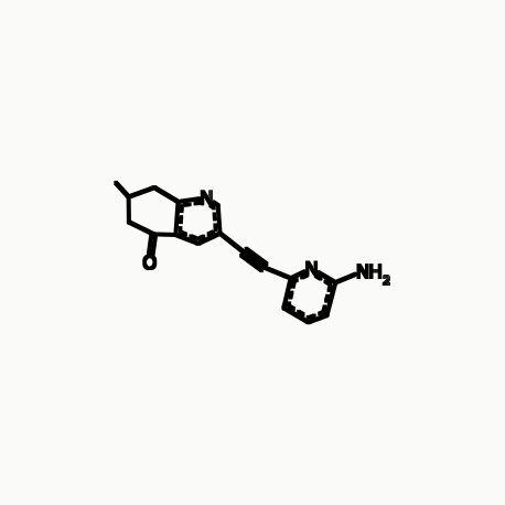 CC1CC(=O)c2cc(C#Cc3cccc(N)n3)cnc2C1